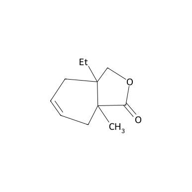 CCC12CC=CCC1(C)C(=O)OC2